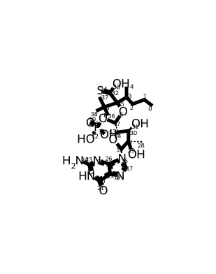 CCCC(C)C(OC(OP(=O)(O)O)[C@H]1O[C@@H](n2cnc3c(=O)[nH]c(N)nc32)[C@](C)(O)[C@@H]1O)(C(O)=S)C(C)(C)C